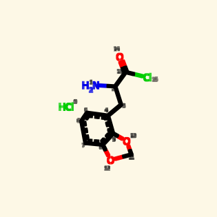 Cl.NC(Cc1cccc2c1OCO2)C(=O)Cl